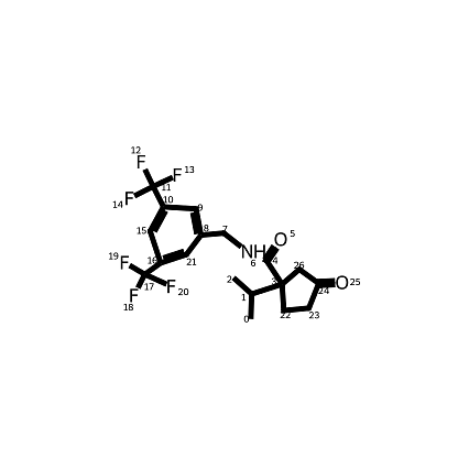 CC(C)C1(C(=O)NCc2cc(C(F)(F)F)cc(C(F)(F)F)c2)CCC(=O)C1